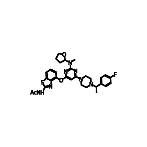 CC(=O)Nc1nc2c(Oc3cc(N4CCN([C@H](C)c5ccc(F)cc5)CC4)nc(N(C)[C@H]4CCCO4)n3)cccc2s1